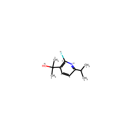 CC(C)c1ccc(C(C)(C)O)c(F)n1